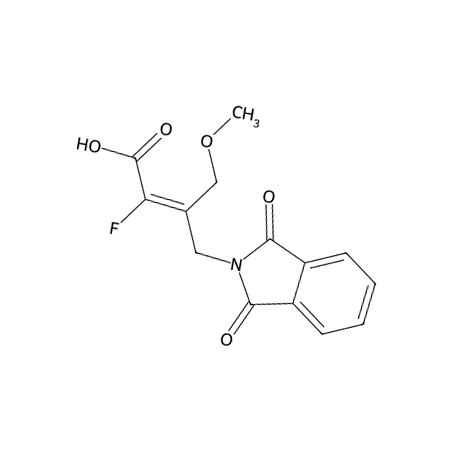 COC/C(CN1C(=O)c2ccccc2C1=O)=C(/F)C(=O)O